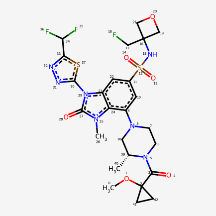 COC1(C(=O)N2CCN(c3cc(S(=O)(=O)NC4(CF)COC4)cc4c3n(C)c(=O)n4-c3nnc(C(F)F)s3)C[C@H]2C)CC1